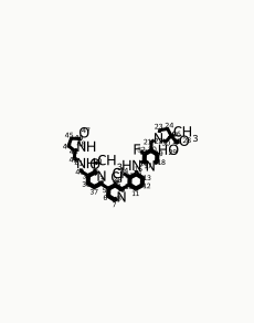 COc1nc(-c2ccnc(-c3cccc(Nc4nccc(CN5CCC(C)(C(=O)O)C5)c4F)c3Cl)c2Cl)ccc1CNCC1CCC(=O)N1